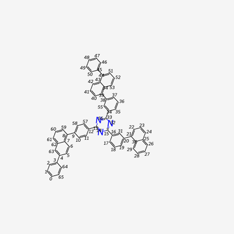 c1ccc(-c2ccc3c(-c4ccc(-c5nc(-c6cccc(-c7cccc8ccccc78)c6)nc(-c6cccc(-c7cccc8c(-c9ccccc9)cccc78)c6)n5)cc4)cccc3c2)cc1